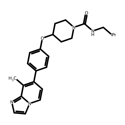 Cc1c(-c2ccc(OC3CCN(C(=O)NCC(C)C)CC3)cc2)ccn2ccnc12